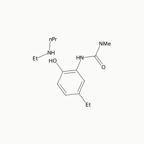 CCCNCC.CCc1ccc(O)c(NC(=O)NC)c1